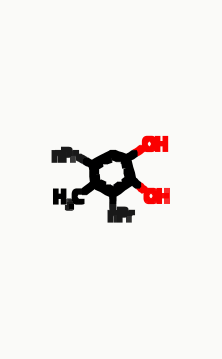 CCCc1cc(O)c(O)c(CCC)c1C